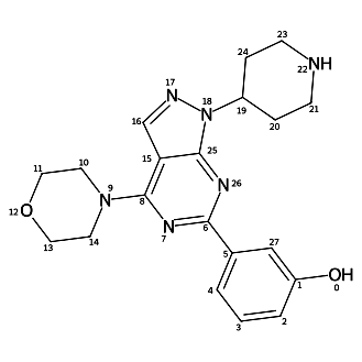 Oc1cccc(-c2nc(N3CCOCC3)c3cnn(C4CCNCC4)c3n2)c1